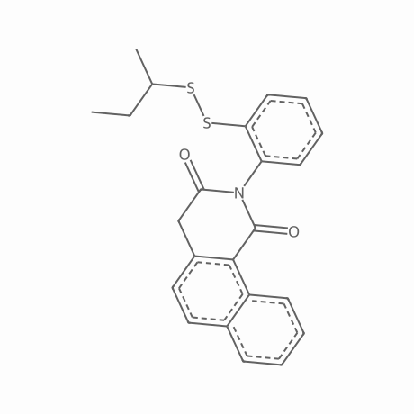 CCC(C)SSc1ccccc1N1C(=O)Cc2ccc3ccccc3c2C1=O